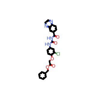 O=C(NC(=O)c1ccc2nccnc2c1)Nc1ccc(OCC(=O)OCc2ccccc2)c(Cl)c1